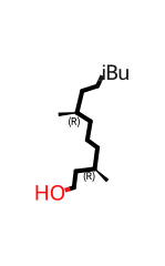 CCC(C)CC[C@H](C)CCC[C@@H](C)CCO